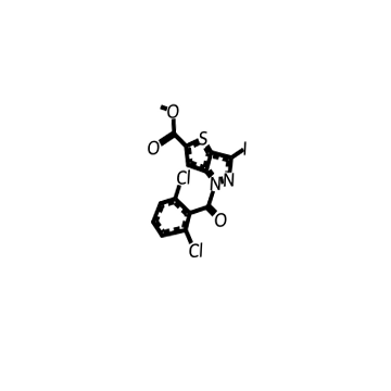 COC(=O)c1cc2c(s1)c(I)nn2C(=O)c1c(Cl)cccc1Cl